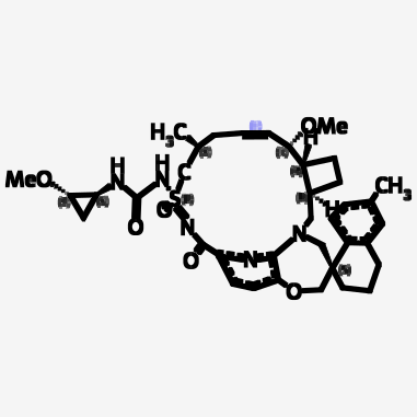 CO[C@H]1/C=C/C[C@H](C)C[S@@](=O)(NC(=O)N[C@H]2C[C@@H]2OC)=NC(=O)c2ccc3c(n2)N(C[C@@H]2CC[C@H]21)C[C@@]1(CCCc2cc(C)ccc21)CO3